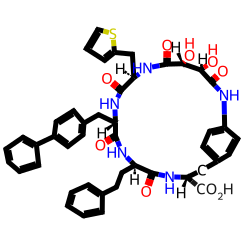 O=C1N[C@H](CCc2ccccc2)C(=O)N[C@@H](C(=O)O)Cc2ccc(cc2)NC(=O)[C@H](O)[C@@H](O)C(=O)N[C@H](Cc2cccs2)C(=O)N[C@H]1Cc1ccc(-c2ccccc2)cc1